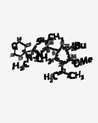 C=C(C)c1cc(-c2nc(C3(N(C)C)CCOCC3)sc2C)cc(C(C)(C)C)c1OC